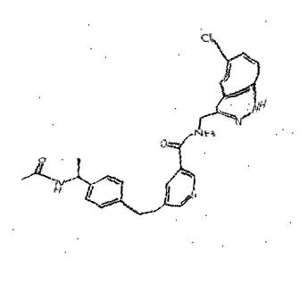 CC(=O)N[C@@H](C)c1ccc(Cc2cncc(C(=O)NCc3n[nH]c4ccc(Cl)cc34)c2)cc1